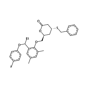 CCC(Oc1ccc(F)cc1)c1cc(C)cc(C)c1OC[C@@H]1C[C@@H](SCc2ccccc2)CC(=O)O1